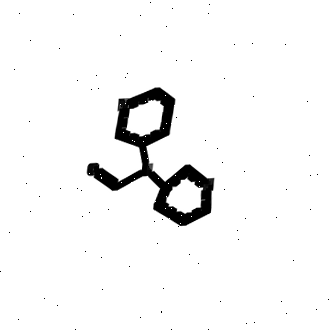 O=CN(c1cccnc1)c1cccnc1